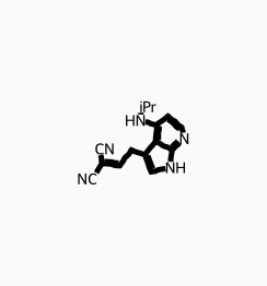 CC(C)Nc1ccnc2[nH]cc(CC=C(C#N)C#N)c12